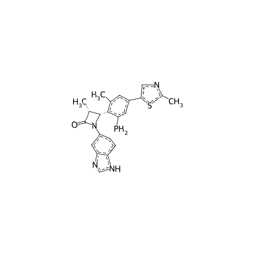 Cc1ncc(-c2cc(C)c([C@H]3[C@@H](C)C(=O)N3c3ccc4[nH]cnc4c3)c(P)c2)s1